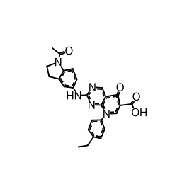 CCc1ccc(-n2cc(C(=O)O)c(=O)c3cnc(Nc4ccc5c(c4)CCN5C(C)=O)nc32)cc1